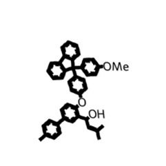 COc1ccc(C2(c3ccc(Oc4ccc(-c5ccc(C)cc5)cc4C(O)C=C(C)C)cc3)c3ccccc3-c3ccccc32)cc1